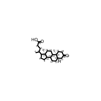 CC(CCC(=O)O)C1CCC2C3CC[C@@H]4CC(=O)CC[C@]4(C)C3CC[C@]12C